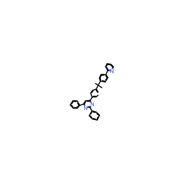 C=C(/C=C\C(=C/C)c1cc(-c2ccccc2)nc(-c2ccccc2)n1)C(C)(C)c1ccc(-c2ccccn2)cc1